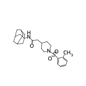 Cc1ccccc1S(=O)(=O)N1CCC(CC(=O)NC23CC4CC(CC(C4)C2)C3)CC1